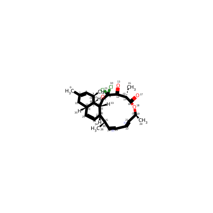 CC1=C[C@@H](C)[C@H]2[C@@H]3C(=O)C(Cl)(Cl)C(=O)[C@H](C)C(=O)O[C@@H](C)/C=C/C=C\[C@@H](C)[C@@H]3C=C[C@@H]2C1